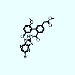 COC(=O)Cc1ccc(C(=O)Nc2nc3ncc(Br)nc3s2)c(-c2cc(Cl)ccc2OC)c1